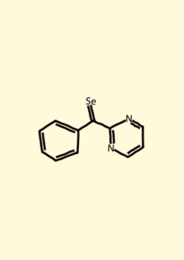 [Se]=C(c1ccccc1)c1ncccn1